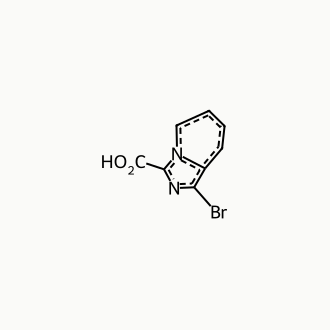 O=C(O)c1nc(Br)c2ccccn12